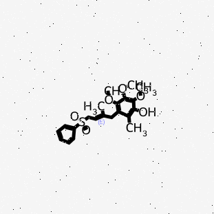 COc1c(O)c(C)c(C/C(C)=C/CS(=O)(=O)c2ccccc2)c(OC)c1OC